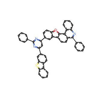 c1ccc(-c2nc(-c3ccc4c(c3)sc3ccccc34)cc(-c3ccc4oc5c(ccc6c(-c7ccccc7)nc7ccccc7c65)c4c3)n2)cc1